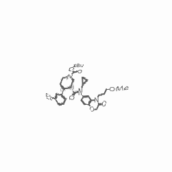 CCc1cccc([C@H]2CCN(C(=O)OC(C)(C)C)C[C@@H]2C(=O)N(c2ccc3c(c2)N(CCCOC)C(=O)CO3)C2CC2)c1